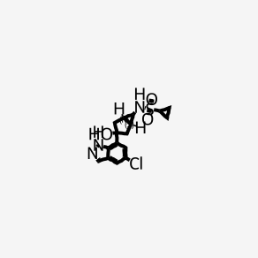 O=S(=O)(NC1[C@H]2CC(O)(c3cc(Cl)cc4cn[nH]c34)C[C@@H]12)C1CC1